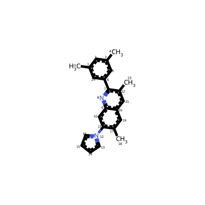 Cc1cc(C)cc(-c2nc3cc(-n4cccc4)c(C)cc3cc2C)c1